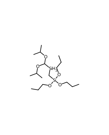 CCCO[Si](C[SiH2]C(OC(C)C)OC(C)C)(OCCC)OCCC